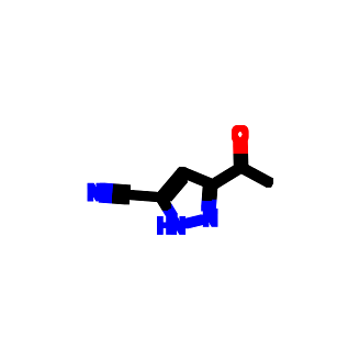 CC(=O)c1cc(C#N)[nH]n1